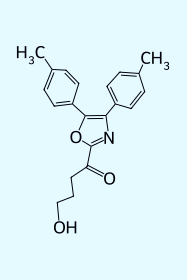 Cc1ccc(-c2nc(C(=O)CCCO)oc2-c2ccc(C)cc2)cc1